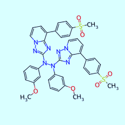 COc1cccc(N(c2nc3c(-c4ccc(S(C)(=O)=O)cc4)cccn3n2)N(c2cccc(OC)c2)c2nc3c(-c4ccc(S(C)(=O)=O)cc4)cccn3n2)c1